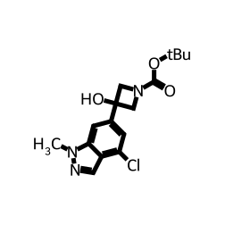 Cn1ncc2c(Cl)cc(C3(O)CN(C(=O)OC(C)(C)C)C3)cc21